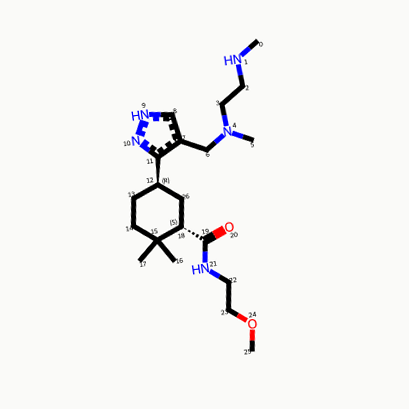 CNCCN(C)Cc1c[nH]nc1[C@@H]1CCC(C)(C)[C@@H](C(=O)NCCOC)C1